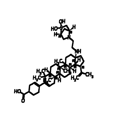 C=C(C)[C@@H]1CC[C@]2(NCCN3C[C@@H]4C[C@H]3CS4(O)O)CC[C@]3(C)[C@H](CC[C@@H]4[C@@]5(C)CC=C(C6=CCC(C(=O)O)CC6)C(C)(C)[C@@H]5CC[C@]43C)[C@@H]12